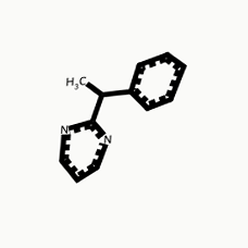 CC(c1ccccc1)c1ncccn1